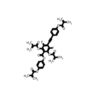 C=C(C)C(=O)Oc1ccc(C#Cc2c(F)c(OC(=O)C(=C)C)c(C(=O)Oc3ccc(OC(=O)C(=C)C)cc3)c(OC(=O)C(=C)C)c2F)cc1